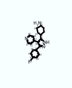 NC1CCC(c2[nH]nc(-c3ccc(F)cc3)c2-c2ccncc2)CC1